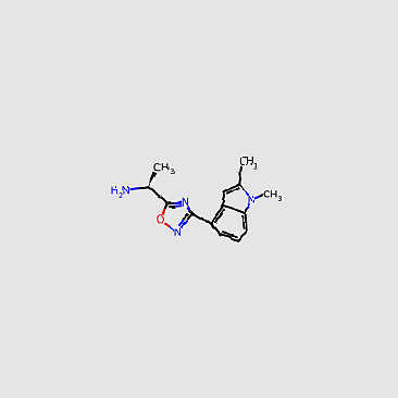 Cc1cc2c(-c3noc([C@H](C)N)n3)cccc2n1C